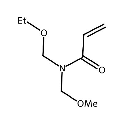 C=CC(=O)N(COC)COCC